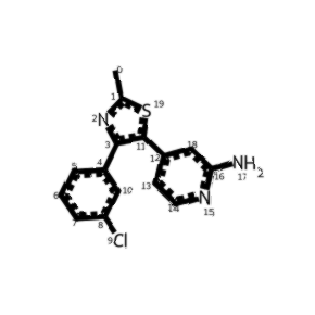 Cc1nc(-c2cccc(Cl)c2)c(-c2ccnc(N)c2)s1